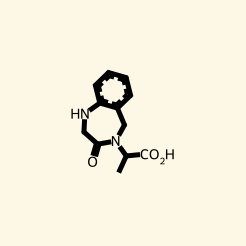 CC(C(=O)O)N1Cc2ccccc2NCC1=O